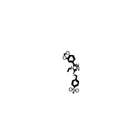 CCn1c(SCc2ccc(S(C)(=O)=O)cc2)nnc1-c1ccc2c(c1)OCO2